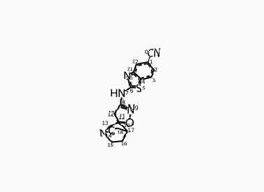 N#Cc1ccc2sc(NC3=NOC4(C3)CN3CCC4CC3)nc2c1